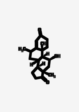 CC1C[C@@H]2[C@H]([C@@H](O)C[C@]3(C)C(=O)CC[C@@H]23)[C@@]2(C)CCC(=O)C=C12